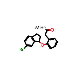 COC(=O)Cc1ccccc1OC1CCc2ccc(Br)cc21